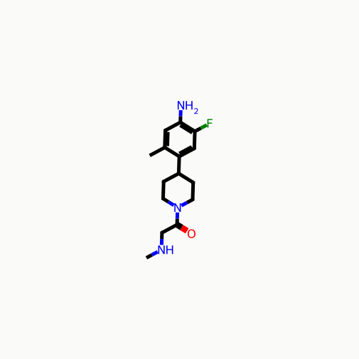 CNCC(=O)N1CCC(c2cc(F)c(N)cc2C)CC1